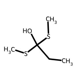 CCC(O)(SC)SC